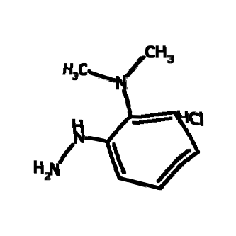 CN(C)c1ccccc1NN.Cl